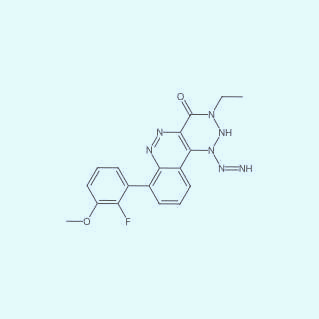 CCN1NN(N=N)c2c(nnc3c(-c4cccc(OC)c4F)cccc23)C1=O